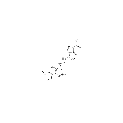 CCCc1c(OC)ccc2c1OC(C)(C)CC2NCNc1cccc2c1cnn2C(=O)OC